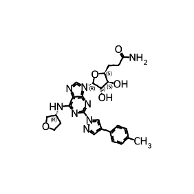 Cc1ccc(-c2cnn(-c3nc(N[C@@H]4CCOC4)c4ncn([C@@H]5O[C@@H](CCC(N)=O)[C@@H](O)[C@@H]5O)c4n3)c2)cc1